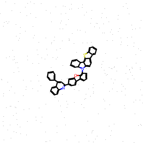 C1=CC2c3c(ccc4c3sc3ccccc34)N(c3cccc4c3oc3cc(-c5cc(-c6ccccc6)c6ccccc6n5)ccc34)C2C=C1